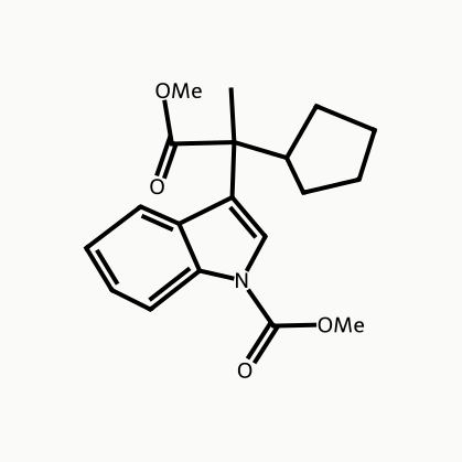 COC(=O)n1cc(C(C)(C(=O)OC)C2CCCC2)c2ccccc21